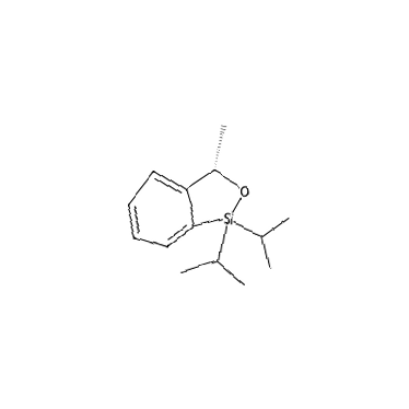 CC(C)[Si]1(C(C)C)O[C@@H](C)c2ccccc21